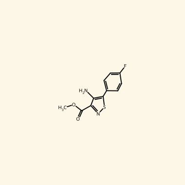 COC(=O)c1nsc(-c2ccc(F)cc2)c1N